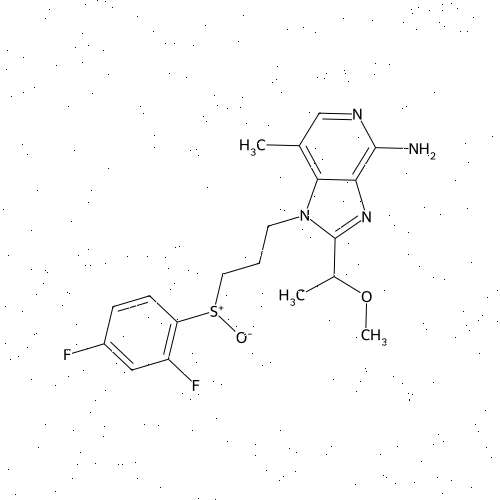 COC(C)c1nc2c(N)ncc(C)c2n1CCC[S+]([O-])c1ccc(F)cc1F